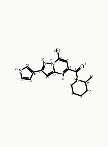 CCc1cc(C(=O)N2CCCCC2C)nc2cc(-c3ccsc3)nn12